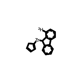 [2H]c1cccc2c1[CH]([Zr][C]1=CC=CC1)c1ccccc1-2